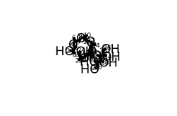 CC(O)COC(C)COC(C)COC(C)COC(C)COC(C)CO.OCC(O)C(O)C(O)C(O)CO